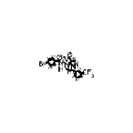 O=C(Nc1nc(=O)c2cnn3c2n1CC=C3c1cccc(C(F)(F)F)c1)c1ccc(Br)cc1